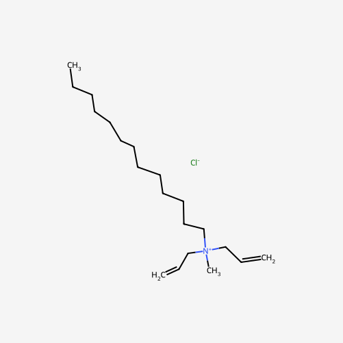 C=CC[N+](C)(CC=C)CCCCCCCCCCCCC.[Cl-]